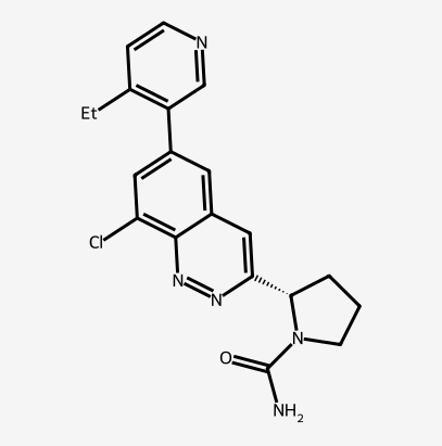 CCc1ccncc1-c1cc(Cl)c2nnc([C@@H]3CCCN3C(N)=O)cc2c1